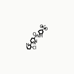 CS(=O)(=O)c1ccc(NC(=O)c2ccc(-c3ncccc3Cl)nn2)cc1